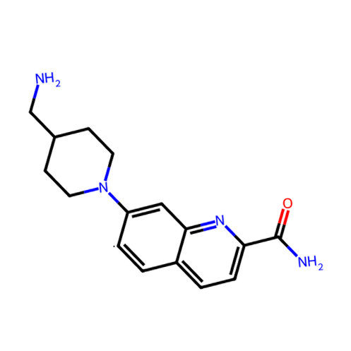 NCC1CCN(c2[c]cc3ccc(C(N)=O)nc3c2)CC1